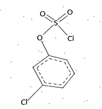 O=S(=O)(Cl)Oc1cccc(Cl)c1